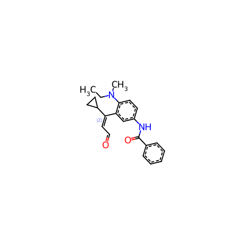 CCN(C)c1ccc(NC(=O)c2ccccc2)cc1/C(=C\C=O)C1CC1